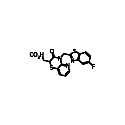 O=C(O)CC1Sc2cccnc2N(Cc2nc3cc(F)ccc3s2)C1=O